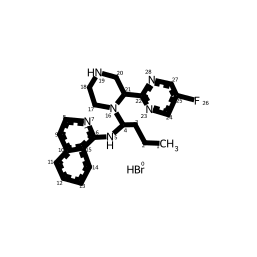 Br.CCCC(Nc1nccc2ccccc12)N1CCNCC1c1ncc(F)cn1